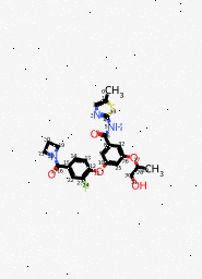 Cc1cnc(NC(=O)c2cc(Oc3ccc(C(=O)N4CCC4)cc3F)cc(OC(C)CO)c2)s1